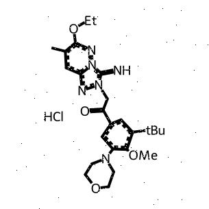 CCOc1nn2c(=N)n(CC(=O)c3cc(N4CCOCC4)c(OC)c(C(C)(C)C)c3)nc2cc1C.Cl